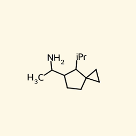 CC(C)C1C(C(C)N)CCC12CC2